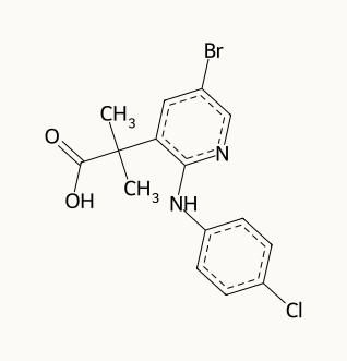 CC(C)(C(=O)O)c1cc(Br)cnc1Nc1ccc(Cl)cc1